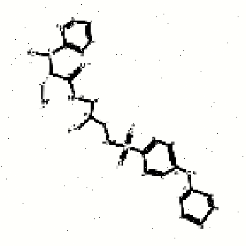 CC(=O)N(c1ccccn1)[C@@H](CC(C)C)C(=O)NCC(O)CNS(=O)(=O)c1ccc(Oc2ccccc2)cc1